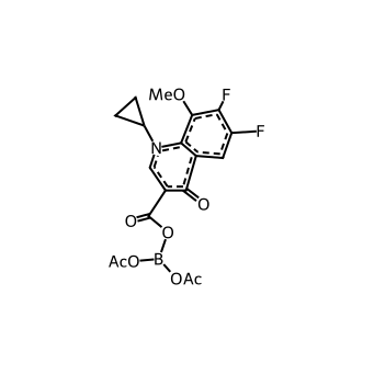 COc1c(F)c(F)cc2c(=O)c(C(=O)OB(OC(C)=O)OC(C)=O)cn(C3CC3)c12